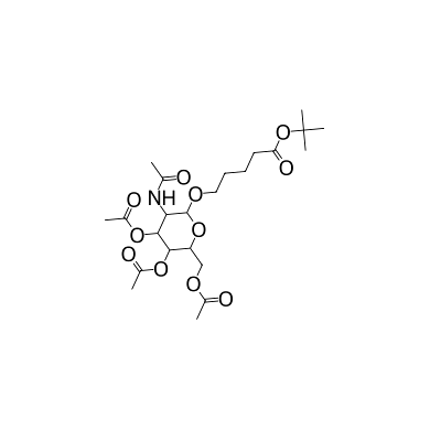 CC(=O)NC1C(OCCCCC(=O)OC(C)(C)C)OC(COC(C)=O)C(OC(C)=O)C1OC(C)=O